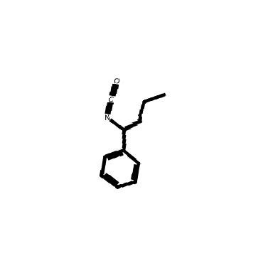 CCCC(N=C=O)c1[c]cccc1